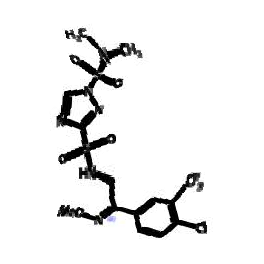 CO/N=C(\CNS(=O)(=O)c1ncn(S(=O)(=O)N(C)C)n1)c1ccc(Cl)c(C(F)(F)F)c1